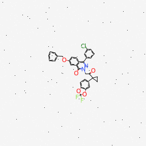 O=C(Cn1nc(-c2cccc(Cl)c2)c2ccc(OCc3ccccc3)cc2c1=O)C1(c2ccc3c(c2)OC(F)(F)O3)CC1